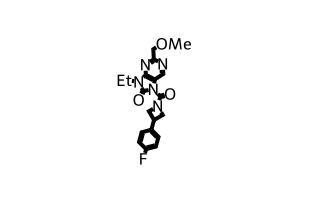 CCn1c(=O)n(C(=O)N2CC(c3ccc(F)cc3)C2)c2cnc(COC)nc21